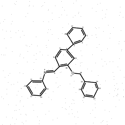 [c]1ccc(-c2ccc(C=Nc3ccccc3)c(OCc3ccccc3)c2)cc1